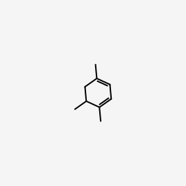 CC1=CC=C(C)C(C)C1